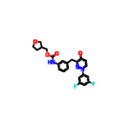 O=C(Nc1cccc(Cc2nn(-c3cc(F)cc(F)c3)ccc2=O)c1)OCC1CCOC1